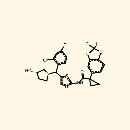 O=C(Nc1ncc(C(c2ccc(F)cc2Cl)N2CC[C@H](O)C2)s1)C1(c2ccc3c(c2)OC(F)(F)O3)CC1